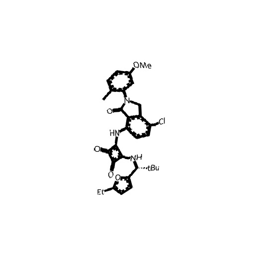 CCc1ccc([C@H](Nc2c(Nc3ccc(Cl)c4c3C(=O)N(c3cc(OC)ccc3C)C4)c(=O)c2=O)C(C)(C)C)o1